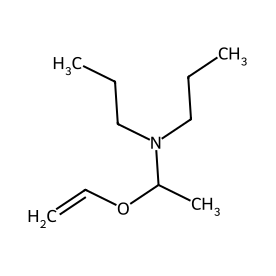 C=COC(C)N(CCC)CCC